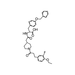 CCOc1ccc(CCC(=O)N2CCC(CC(=O)NC(Cc3ccc(OCc4ccccc4)cc3)C(=O)O)CC2)cc1F